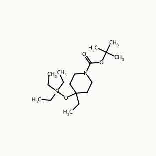 CCC1(O[Si](CC)(CC)CC)CCN(C(=O)OC(C)(C)C)CC1